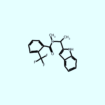 CC(c1cc2ccccc2[nH]1)N(C)C(=O)c1ccccc1C(F)(F)F